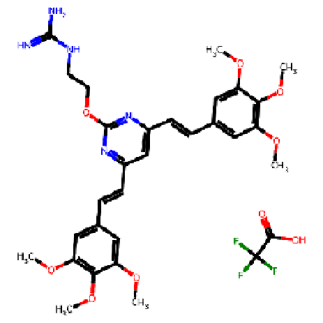 COc1cc(C=Cc2cc(C=Cc3cc(OC)c(OC)c(OC)c3)nc(OCCNC(=N)N)n2)cc(OC)c1OC.O=C(O)C(F)(F)F